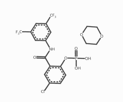 C1COCCO1.O=C(Nc1cc(C(F)(F)F)cc(C(F)(F)F)c1)c1cc(Cl)ccc1OP(=O)(O)O